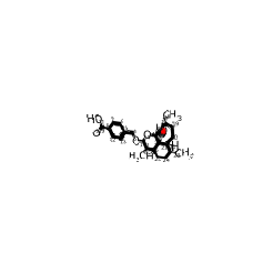 C[C@H]1[C@@H](OCc2ccc(C(=O)O)cc2)O[C@@H]2O[C@]3(C)CC[C@H]4[C@H](C)CC[C@@H]1C24OO3